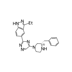 CCc1n[nH]c2ccc(-c3nncc(N4CCN[C@@H](Cc5ccccc5)C4)n3)cc12